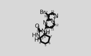 O=C1N[C@H]2CCCC[C@H]2N1c1ccn2ncc(Br)c2n1